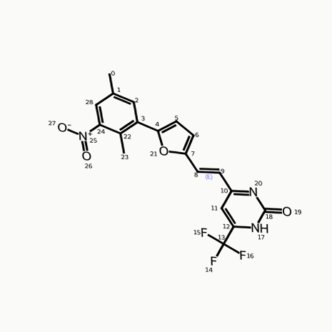 Cc1cc(-c2ccc(/C=C/c3cc(C(F)(F)F)[nH]c(=O)n3)o2)c(C)c([N+](=O)[O-])c1